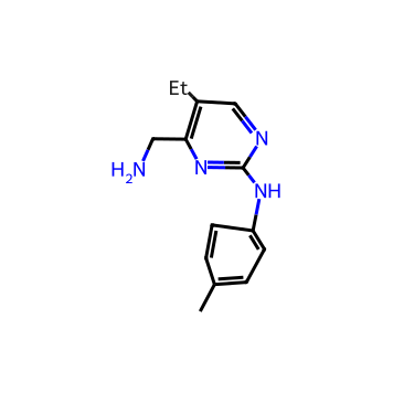 CCc1cnc(Nc2ccc(C)cc2)nc1CN